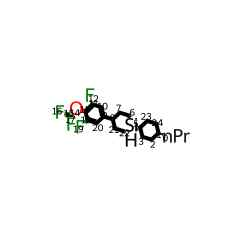 CCC[C@H]1CC[C@H]([SiH]2CCC(c3cc(F)c(OC(F)F)c(F)c3)CC2)CC1